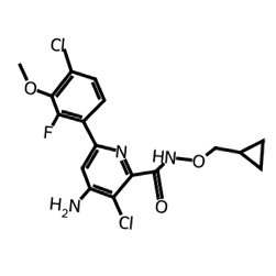 COc1c(Cl)ccc(-c2cc(N)c(Cl)c(C(=O)NOCC3CC3)n2)c1F